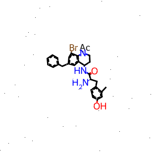 CC(=O)N1CC[C@@H](NC(=O)[C@@H](N)Cc2ccc(O)cc2C)c2cc(Cc3ccccc3)cc(Br)c21